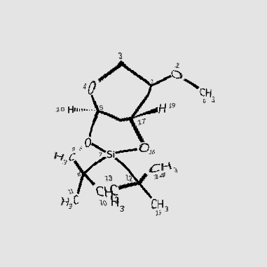 COC1CO[C@@H]2O[Si](C(C)(C)C)(C(C)(C)C)O[C@@H]12